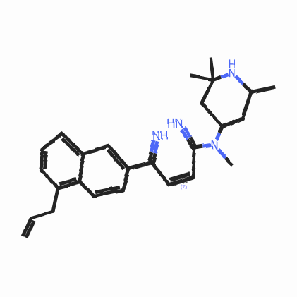 C=CCc1cccc2cc(C(=N)/C=C\C(=N)N(C)C3CC(C)NC(C)(C)C3)ccc12